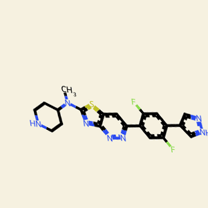 CN(c1nc2nnc(-c3cc(F)c(-c4cn[nH]c4)cc3F)cc2s1)C1CCNCC1